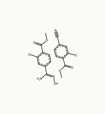 COC(=O)c1ccc(C#N)cc1Cl.COC(=O)c1ccc(C(N)=NO)cc1Cl